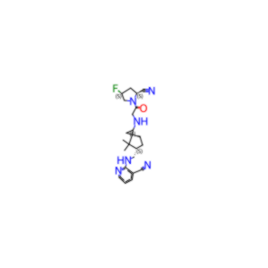 CC1(C)[C@@H](CNc2ncccc2C#N)CC[C@]12CC2NCC(=O)N1C[C@@H](F)C[C@H]1C#N